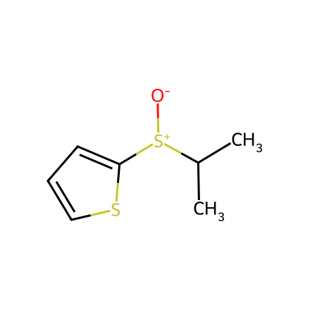 CC(C)[S+]([O-])c1cccs1